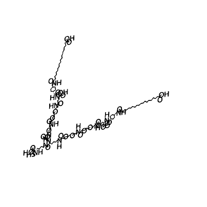 O=CC(CN[C@@H](CCCCNC(=O)COCCOCCNC(=O)COCCOCCNC(=O)CC[C@H](NC(=O)[C@H]1CC[C@H](CNC(=O)CCCCCCCCCCCCCCCCCCC(=O)O)CC1)C(=O)O)C(=O)NCCCC[C@H](NS)C(=O)O)OCCOCCNC(=O)COCCOCCNC(=O)CC[C@H](NC(=O)C[C@H]1CC[C@H](CNC(=O)CCCCCCCCCCCCCCCCCCC(=O)O)CC1)C(=O)O